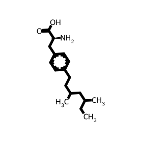 CCC(C)CC(C)CCc1ccc(C[C@H](N)C(=O)O)cc1